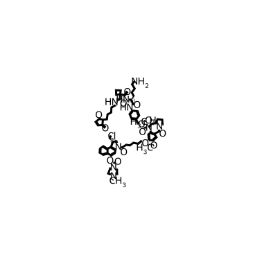 COc1cc2c(cc1OCCCCCC(=O)N1C[C@@H](CCl)c3c1cc(OC(=O)N1CCN(C)CC1)c1ccccc31)N(C(=O)OCc1ccc(NC(=O)[C@H](CCCCN)NC(=O)C3(C(=O)NCCCCCC4C(=O)C=CC4=O)CCC3)cc1)C(OC)[C@@H]1CCCN1C2=O